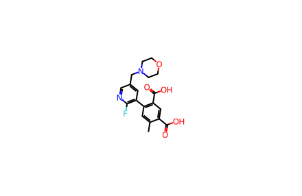 Cc1cc(-c2cc(CN3CCOCC3)cnc2F)c(C(=O)O)cc1C(=O)O